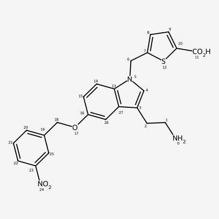 NCCc1cn(Cc2ccc(C(=O)O)s2)c2ccc(OCc3cccc([N+](=O)[O-])c3)cc12